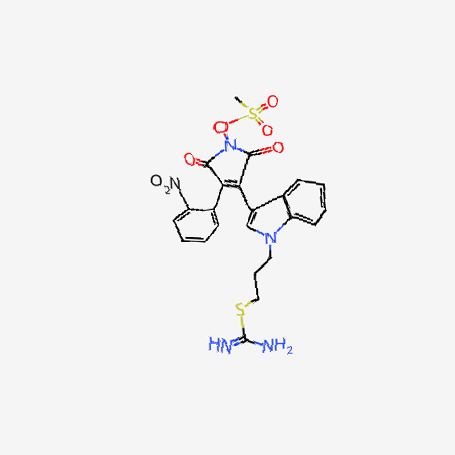 CS(=O)(=O)ON1C(=O)C(c2ccccc2[N+](=O)[O-])=C(c2cn(CCCSC(=N)N)c3ccccc23)C1=O